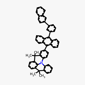 CC1(C)c2ccccc2N2c3ccc(-c4c5ccccc5c(-c5cccc(-c6ccc7ccccc7c6)c5)c5ccccc45)cc3C(C)(C)c3cccc1c32